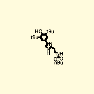 CCCCOC(=O)NCCc1nc(-c2cc(C(C)(C)C)c(O)c(C(C)(C)C)c2)c[nH]1